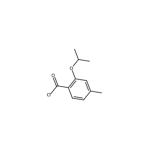 Cc1ccc(C(=O)Cl)c(OC(C)C)c1